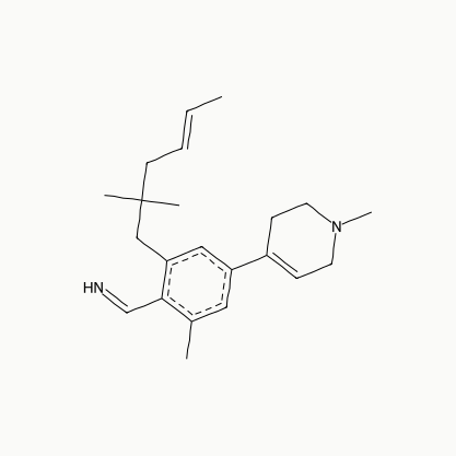 C/C=C/CC(C)(C)Cc1cc(C2=CCN(C)CC2)cc(C)c1C=N